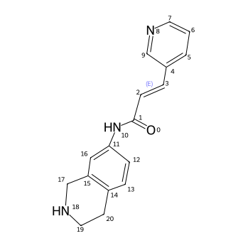 O=C(/C=C/c1cccnc1)Nc1ccc2c(c1)CNCC2